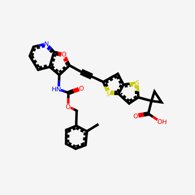 Cc1ccccc1COC(=O)Nc1c(C#Cc2cc3sc(C4(C(=O)O)CC4)cc3s2)oc2ncccc12